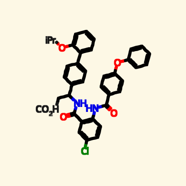 CC(C)Oc1ccccc1-c1ccc(C(CC(=O)O)NC(=O)c2cc(Cl)ccc2NC(=O)c2ccc(Oc3ccccc3)cc2)cc1